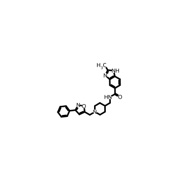 Cc1nc2cc(C(=O)NCC3CCN(Cc4cc(-c5ccccc5)no4)CC3)ccc2[nH]1